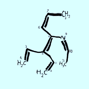 C=CC(C=C)=C(/C=C\C)/N=C\C